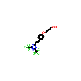 OCCCCOc1ccc(C=Cc2nc(C(Cl)(Cl)Cl)nc(C(Cl)(Cl)Cl)n2)cc1